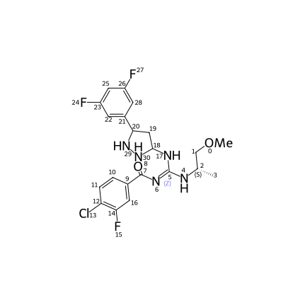 COC[C@H](C)N/C(=N/C(=O)c1ccc(Cl)c(F)c1)NC1CC(c2cc(F)cc(F)c2)NN1